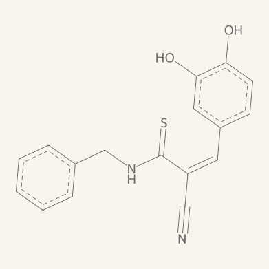 N#CC(=Cc1ccc(O)c(O)c1)C(=S)NCc1ccccc1